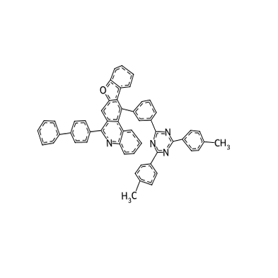 Cc1ccc(-c2nc(-c3ccc(C)cc3)nc(-c3cccc(-c4c5c(cc6c(-c7ccc(-c8ccccc8)cc7)nc7ccccc7c46)oc4ccccc45)c3)n2)cc1